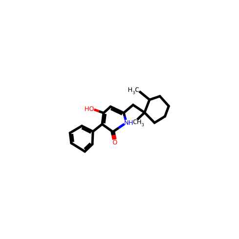 CC1CCCCC1(C)Cc1cc(O)c(-c2ccccc2)c(=O)[nH]1